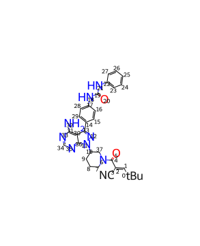 CC(C)(C)/C=C(\C#N)C(=O)N1CCC[C@@H](n2nc(-c3ccc(NC(=O)Nc4ccccc4)cc3)c3c(N)ncnc32)C1